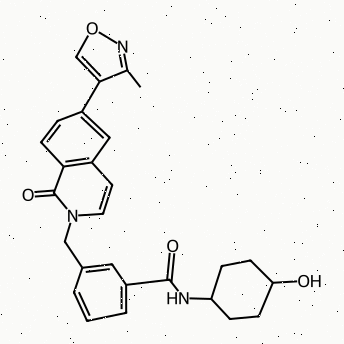 Cc1nocc1-c1ccc2c(=O)n(Cc3cccc(C(=O)NC4CCC(O)CC4)c3)ccc2c1